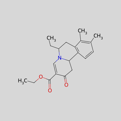 CCOC(=O)C1=CN2C(CC)Cc3c(ccc(C)c3C)C2CC1=O